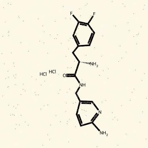 Cl.Cl.Nc1ccc(CNC(=O)[C@@H](N)Cc2ccc(F)c(F)c2)cn1